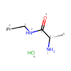 CC(C)CNC(=O)[C@H](C)N.Cl